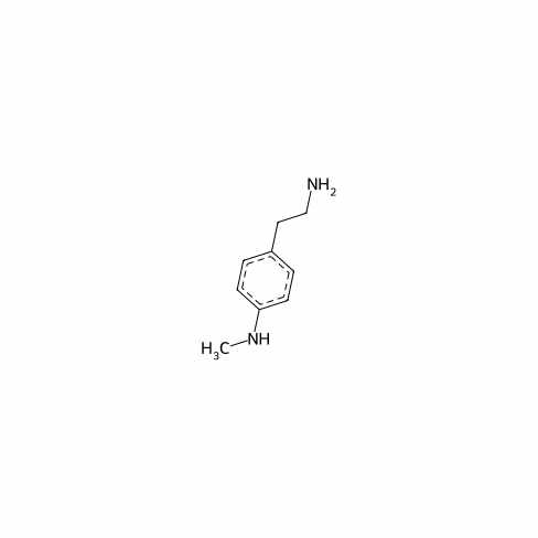 CNc1ccc(CCN)cc1